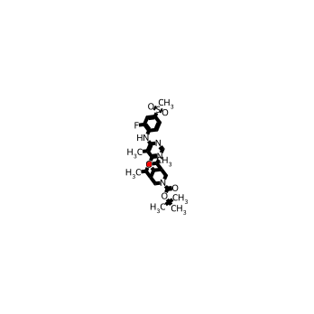 Cc1c(Nc2ccc(S(C)(=O)=O)cc2F)ncnc1OC1C2CN(C(=O)OC(C)(C)C)CC1C(C)OC2C